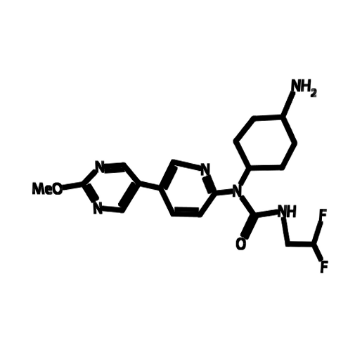 COc1ncc(-c2ccc(N(C(=O)NCC(F)F)C3CCC(N)CC3)nc2)cn1